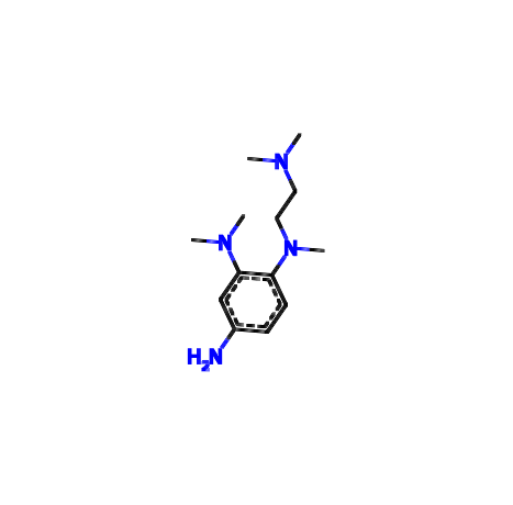 CN(C)CCN(C)c1ccc(N)cc1N(C)C